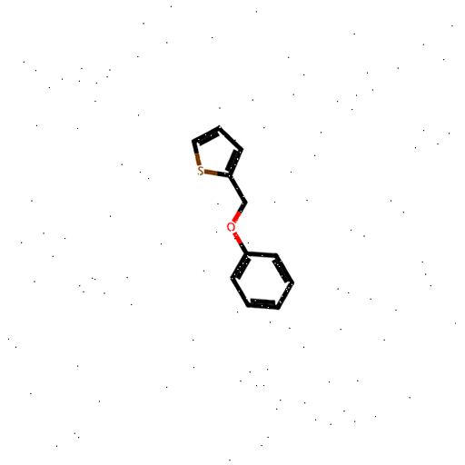 [c]1csc(COc2ccccc2)c1